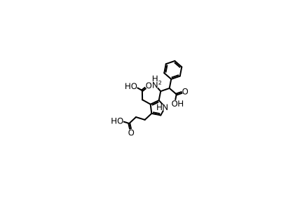 NC(c1[nH]cc(CCC(=O)O)c1CC(=O)O)C(C(=O)O)c1ccccc1